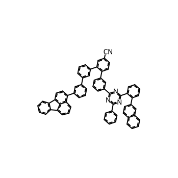 N#Cc1ccc(-c2cccc(-c3nc(-c4ccccc4)nc(-c4ccccc4-c4ccc5ccccc5c4)n3)c2)c(-c2cccc(-c3cccc(-c4ccc5c6c(cccc46)-c4ccccc4-5)c3)c2)c1